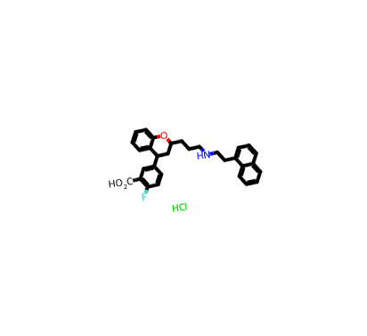 Cl.O=C(O)c1cc(C2CC(CCCNCCc3cccc4ccccc34)Oc3ccccc32)ccc1F